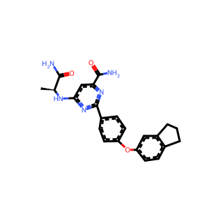 C[C@H](Nc1cc(C(N)=O)nc(-c2ccc(Oc3ccc4c(c3)CCC4)cc2)n1)C(N)=O